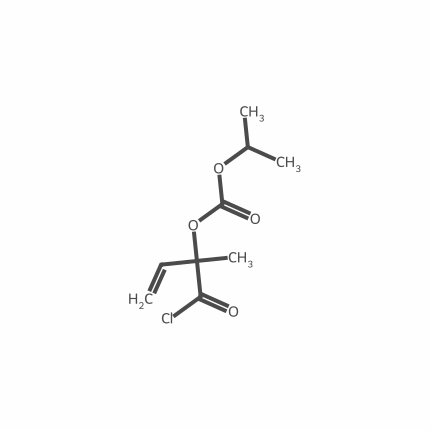 C=CC(C)(OC(=O)OC(C)C)C(=O)Cl